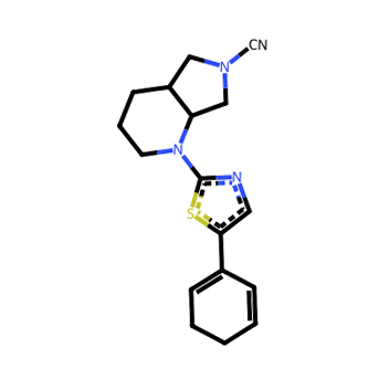 N#CN1CC2CCCN(c3ncc(C4=CCCC=C4)s3)C2C1